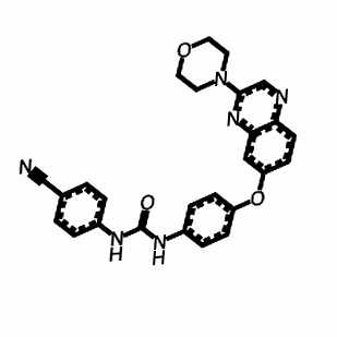 N#Cc1ccc(NC(=O)Nc2ccc(Oc3ccc4ncc(N5CCOCC5)nc4c3)cc2)cc1